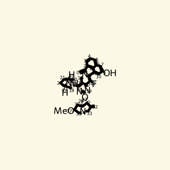 C#Cc1cccc2cc(O)cc(-c3ncc4c(N5C[C@H]6CC[C@@H](C5)N6)nc(OC[C@]56CC(=C)CN5C[C@@H](OC)C6)nc4c3F)c12